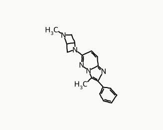 Cc1c(-c2ccccc2)nc2ccc(N3CC4C3CN4C)nn12